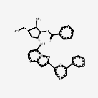 C[C@@H]1[C@@H](CO)C[C@@H](Nc2ccnc3cc(-c4cncc(-c5ccccc5)n4)nn23)[C@@H]1OC(=O)c1ccccc1